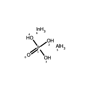 O=P(O)(O)O.[AlH3].[InH3]